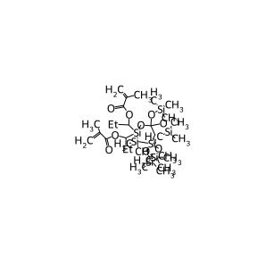 C=C(C)C(=O)OC(CC)[Si]1(C(CC)OC(=O)C(=C)C)OC(O[Si](C)(C)C)(O[Si](C)(C)C)C[Si](O[Si](C)(C)C)(O[Si](C)(C)C)[Si]1(C)C